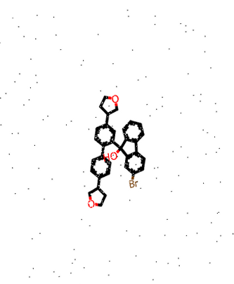 OC1(c2cc(C3CCOC3)ccc2-c2ccc(C3CCOC3)cc2)c2ccccc2-c2ccc(Br)cc21